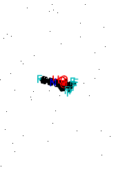 O=C(OC(CO)c1cc(C(F)(F)F)cc(C(F)(F)F)c1)[C@]1(c2ccccc2)CC[C@@H](N2CCC(c3ccc(F)cc3)CC2)CC1